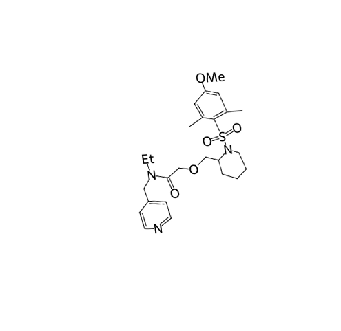 CCN(Cc1ccncc1)C(=O)COCC1CCCCN1S(=O)(=O)c1c(C)cc(OC)cc1C